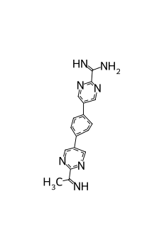 CC(=N)c1ncc(-c2ccc(-c3cnc(C(=N)N)nc3)cc2)cn1